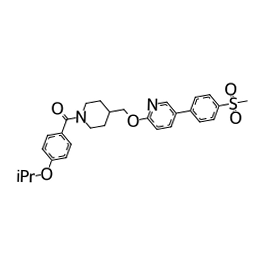 CC(C)Oc1ccc(C(=O)N2CCC(COc3ccc(-c4ccc(S(C)(=O)=O)cc4)cn3)CC2)cc1